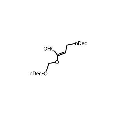 CCCCCCCCCCC/C=C(\C=O)OCOCCCCCCCCCC